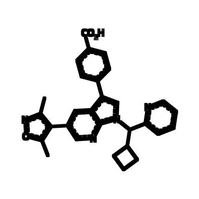 Cc1noc(C)c1-c1cnc2c(c1)c(-c1ccc(C(=O)O)cc1)cn2C(c1ccccn1)C1CCC1